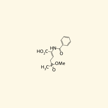 COP(C)(=O)CC=C(NC(=O)c1ccccc1)C(=O)O